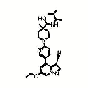 CCOc1cc(-c2ccc(N3CCC(C)(C(O)N[C@H](C)C(C)C)CC3)nc2)c2c(C#N)cnn2c1